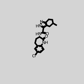 CC1CCc2n[nH]c(C(=O)N[C@H]3CCc4cc(Cl)ccc4NC3=O)c2C1